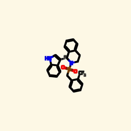 O=S(=O)(Cc1ccccc1C(F)(F)F)N1CCc2ccccc2[C@H]1c1c[nH]c2ccccc12